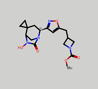 CC(C)(C)OC(=O)N1CC(Cc2cc([C@@H]3CC4(CC4)C4CN3C(=O)N4O)no2)C1